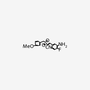 COc1ccc(CS(=O)(=O)C(C#N)=Cc2ccc(F)c(N)c2)cc1